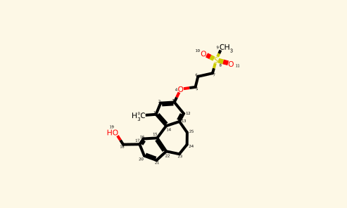 Cc1cc(OCCCS(C)(=O)=O)cc2c1-c1cc(CO)ccc1CCC2